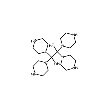 OC(N1CCNCC1)(N1CCNCC1)C(O)(N1CCNCC1)N1CCNCC1